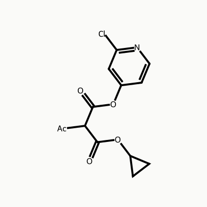 CC(=O)C(C(=O)Oc1ccnc(Cl)c1)C(=O)OC1CC1